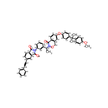 COc1ccc(C(C)(C)c2ccc(Oc3ccc4c(c3)CON(C(C)c3cccc(N5C(=O)c6ccc(C#Cc7ccccc7)cc6C5=O)c3)C4=O)cc2)cc1